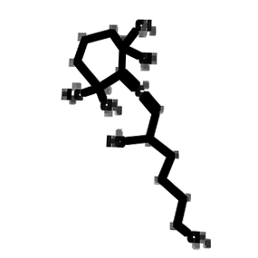 CCCCCC(O)C=C=C1C(C)(C)CCCC1(C)O